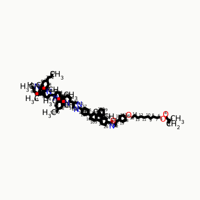 C=C(C)C(=O)OCCCCCCCCCCOc1ccc(-c2cnc(-c3ccc4c(c3)C3(c5cc(-c6ccc(-c7ncc(-c8ccc9c(n8)C8(c%10nc(-c%11ccc%12c(n%11)C%11(c%13nc(C)ccc%13-%12)C%12(C)CC(CCC)CC%11(C)CC(CCC)C%12)ccc%10-9)C9(C)CC(CC)CC8(C)CC(CC)C9)cn7)cc6)ccc5-4)C4(C)CCC3(C)CC4)o2)cc1